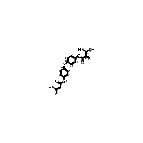 CC(S)=CC(=O)Sc1ccc(Sc2ccc(OC(=O)C(C)=C(S)S)cc2)cc1